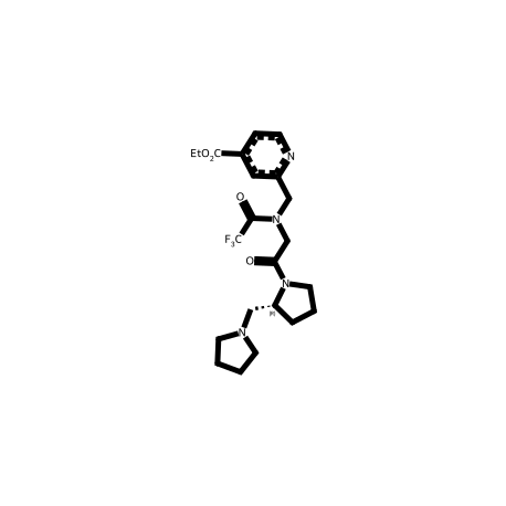 CCOC(=O)c1ccnc(CN(CC(=O)N2CCC[C@@H]2CN2CCCC2)C(=O)C(F)(F)F)c1